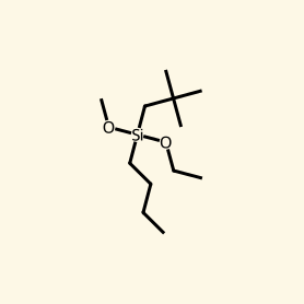 CCCC[Si](CC(C)(C)C)(OC)OCC